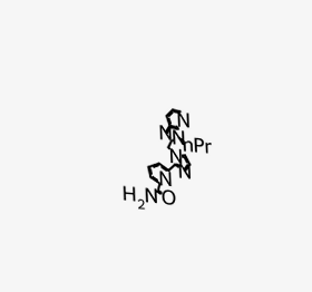 CCCn1c(Cn2ccnc2-c2cccc(C(N)=O)n2)nc2cccnc21